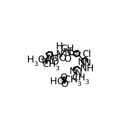 CS(=O)(=O)O.Cc1nccc(Nc2ncc(Cl)c(-c3ccc4c(c3)C(=O)N(C(C)C(=O)N[C@H](CO)c3cccc(N(C)C)n3)C4)n2)n1